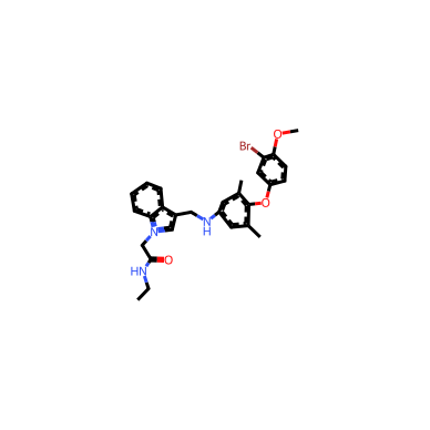 CCNC(=O)Cn1cc(CNc2cc(C)c(Oc3ccc(OC)c(Br)c3)c(C)c2)c2ccccc21